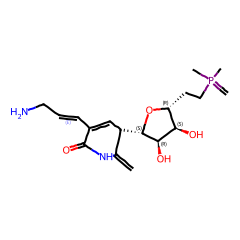 C=C1NC(=O)C(/C=C/CN)=CC1[C@@H]1O[C@H](CCP(=C)(C)C)[C@@H](O)[C@H]1O